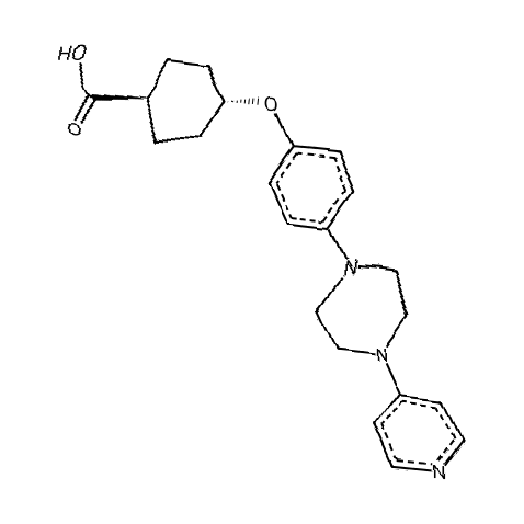 O=C(O)[C@H]1CC[C@H](Oc2ccc(N3CCN(c4ccncc4)CC3)cc2)CC1